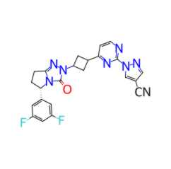 N#Cc1cnn(-c2nccc(C3CC(n4nc5n(c4=O)[C@H](c4cc(F)cc(F)c4)CC5)C3)n2)c1